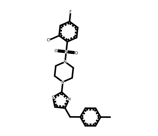 Cc1ccc(Cc2csc(N3CCN(S(=O)(=O)c4ccc(F)cc4Cl)CC3)n2)cc1